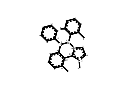 Cc1cccc(C)c1B1N(c2ccccc2)c2cccc(C)c2-c2n1cc[n+]2C